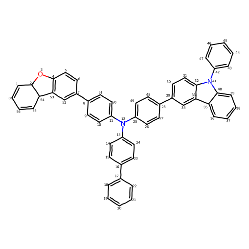 C1=CC2Oc3ccc(-c4ccc(N(c5ccc(-c6ccccc6)cc5)c5ccc(-c6ccc7c(c6)c6ccccc6n7-c6ccccc6)cc5)cc4)cc3C2C=C1